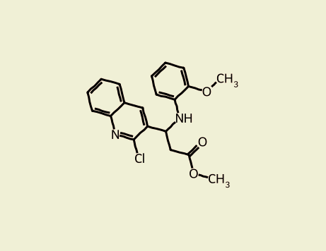 COC(=O)CC(Nc1ccccc1OC)c1cc2ccccc2nc1Cl